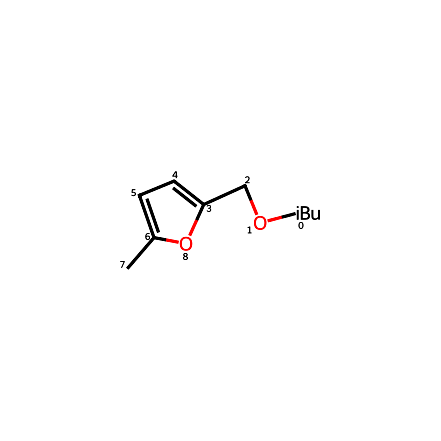 CCC(C)OCc1ccc(C)o1